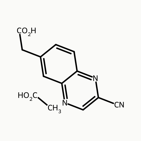 CC(=O)O.N#Cc1cnc2cc(CC(=O)O)ccc2n1